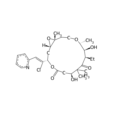 CC[C@H]1C(=O)C(C)(C)[C@@H](O)CC(=O)O[C@H](C(Cl)=Cc2ccccn2)C[C@@H]2O[C@]2(C)CCO[C@H](C)[C@H]1O